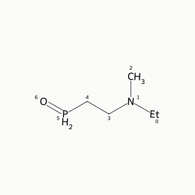 CCN(C)CC[PH2]=O